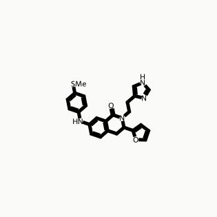 CSc1ccc(Nc2ccc3c(c2)C(=O)N(CCc2c[nH]cn2)C(c2ccco2)C3)cc1